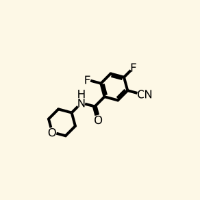 N#Cc1cc(C(=O)NC2CCOCC2)c(F)cc1F